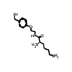 NCCCC[C@@H](N)C(=O)NCCOc1ccc(CS)cc1